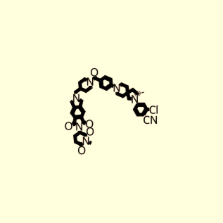 C[C@H]1CC2(CCN(c3ccc(C(=O)N4CCC(CN5Cc6cc7c(cc6C5)C(=O)N(C5CCC(=O)N(C)C5=O)C7=O)CC4)cc3)CC2)CN1c1ccc(C#N)c(Cl)c1